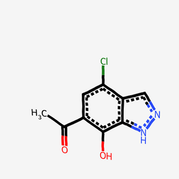 CC(=O)c1cc(Cl)c2cn[nH]c2c1O